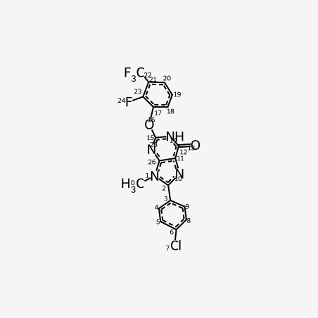 Cn1c(-c2ccc(Cl)cc2)nc2c(=O)[nH]c(Oc3cccc(C(F)(F)F)c3F)nc21